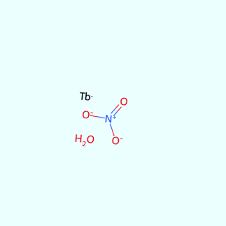 O.O=[N+]([O-])[O-].[Tb]